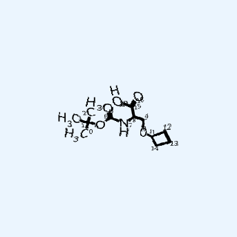 CC(C)(C)OC(=O)NC(COC1CCC1)C(=O)O